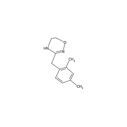 Cc1ccc(CC2=NOCCN2)c(C)c1